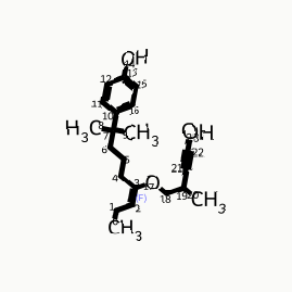 CC/C=C(\CCCC(C)(C)c1ccc(O)cc1)OCC(C)C#CO